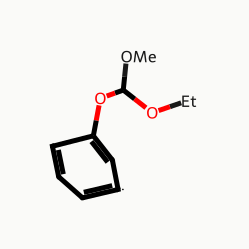 CCOC(OC)Oc1c[c]ccc1